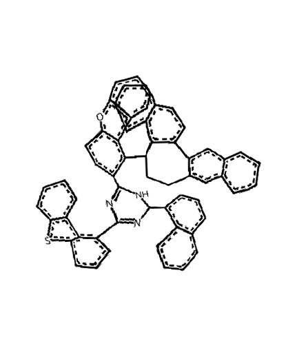 c1ccc2cc3c(cc2c1)CCC(c1c(C2=NC(c4cccc5sc6ccccc6c45)=NC(c4cccc5ccccc45)N2)ccc2oc4ccccc4c12)c1c-3ccc2ccccc12